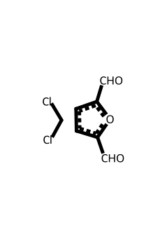 ClCCl.O=Cc1ccc(C=O)o1